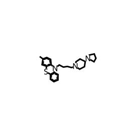 Cc1ccc2c(c1)Sc1ccccc1N2CCCCN1CCC(N2CCCC2)CC1